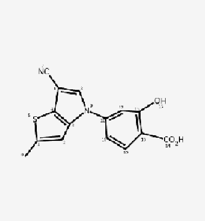 Cc1cc2c(s1)c(C#N)cn2-c1ccc(C(=O)O)c(O)c1